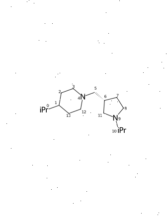 CC(C)C1CCN(C[C@@H]2CCN(C(C)C)C2)CC1